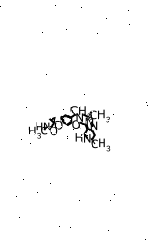 CNC(=O)C1(Oc2ccc(C(C)N3C[C@@H](C)n4nc5c(c4C3=O)CN[C@H](C)C5)cc2)CC1